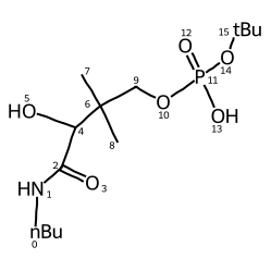 CCCCNC(=O)C(O)C(C)(C)COP(=O)(O)OC(C)(C)C